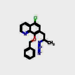 CC(Cc1cc(Cl)c2cccnc2c1OCc1ccccc1)N=[N+]=[N-]